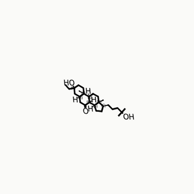 CC[C@]1(O)CC[C@@]2(C)[C@@H](CC(=O)[C@@H]3[C@@H]2CC[C@]2(C)[C@@H](CCCC(C)(C)O)CC[C@@H]32)C1